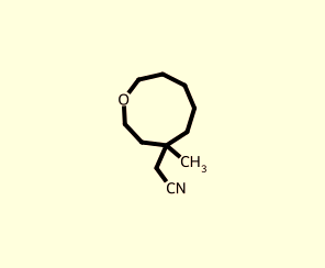 CC1(CC#N)CCCCCOCC1